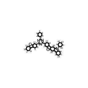 c1ccc(-c2nc(-c3ccc4c(c3)oc3ccccc34)nc(-c3ccc4c(c3)oc3cc5c6ccccc6n(-c6ccccc6)c5cc34)n2)cc1